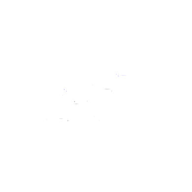 CC(=O)NCOC(=O)[C@@H](N)CS